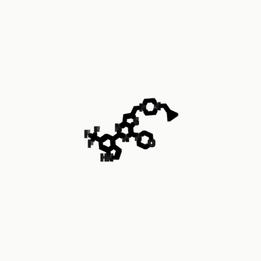 FC(F)(F)c1cc(-c2nc(N3CCOCC3)c3sc(CN4CCN(CC5CC5)CC4)cc3n2)c2cc[nH]c2c1